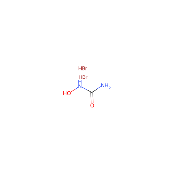 Br.Br.NC(=O)NO